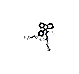 CCCOc1ccc(C2(/C(C)=C/C=C(\C)OCCO)c3ccccc3-c3ccccc32)cc1